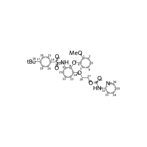 COc1ccccc1Oc1c(NS(=O)(=O)c2ccc(C(C)(C)C)cc2)cccc1OCCOC(=O)Nc1ccccn1